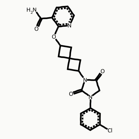 NC(=O)c1cccnc1OC1CC2(C1)CC(N1C(=O)CN(c3cccc(Cl)c3)C1=O)C2